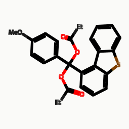 CCC(=O)OC(OC(=O)CC)(c1ccc(OC)cc1)c1cccc2sc3ccccc3c12